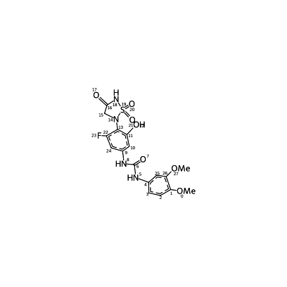 COc1ccc(NC(=O)Nc2cc(O)c(N3CC(=O)NS3(=O)=O)c(F)c2)cc1OC